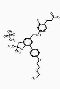 CCOCCOc1ccc(-c2cc(CNc3ccc(CCC(=O)O)c(F)c3)cc3c2OC(C)(C)C3)cc1.CS(=O)(=O)O